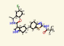 CC(NC(=O)c1c[nH]c2ccc(-c3ccc4nc(NC(=O)C(C)(C)C)sc4c3)cc12)c1cccc(F)c1